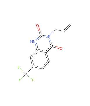 C=CCn1c(=O)[nH]c2cc(C(F)(F)F)ccc2c1=O